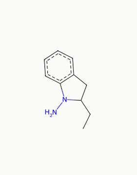 CCC1Cc2ccccc2N1N